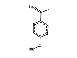 CC(=N)c1ccc(OC(C)(C)C)cc1